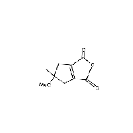 COC1(C)CC2=C(C1)C(=O)OC2=O